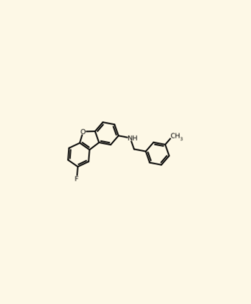 Cc1cccc(CNc2ccc3oc4ccc(F)cc4c3c2)c1